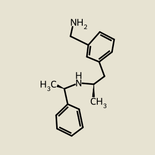 C[C@H](Cc1cccc(CN)c1)N[C@H](C)c1ccccc1